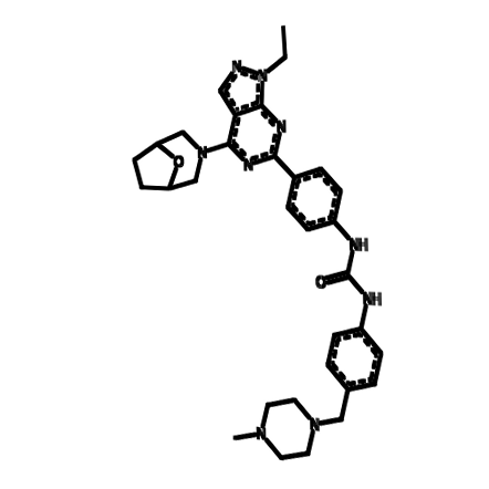 CCn1ncc2c(N3CC4CCC(C3)O4)nc(-c3ccc(NC(=O)Nc4ccc(CN5CCN(C)CC5)cc4)cc3)nc21